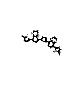 Cc1ccc(-c2ccc(-c3ccc(-c4ccc(-c5ccc(C)[nH]5)c5nccnc45)[nH]3)c3nccnc23)[nH]1